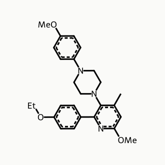 CCOc1ccc(-c2nc(OC)cc(C)c2N2CCN(c3ccc(OC)cc3)CC2)cc1